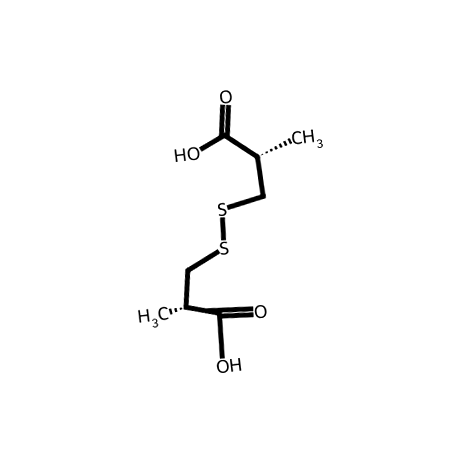 C[C@H](CSSC[C@@H](C)C(=O)O)C(=O)O